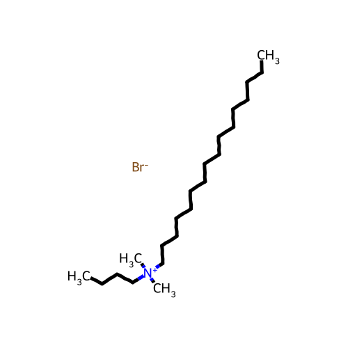 CCCCCCCCCCCCCCCC[N+](C)(C)CCCC.[Br-]